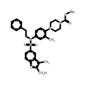 Cc1cc(N(CCc2ccccc2)S(=O)(=O)c2ccc3oc(C(=O)O)c(C)c3c2)ccc1N1CCN(C(=O)OC(C)(C)C)CC1